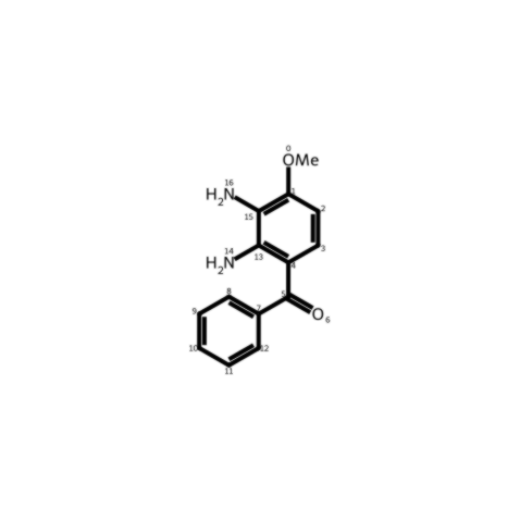 COc1ccc(C(=O)c2ccccc2)c(N)c1N